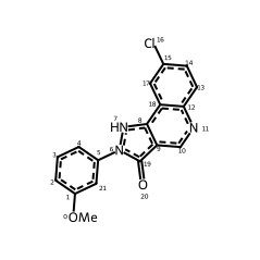 COc1cccc(-n2[nH]c3c(cnc4ccc(Cl)cc43)c2=O)c1